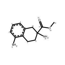 Bc1cccc2c1CCC(N)(C(=O)OC)C2